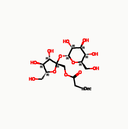 CCCCCCCCCCCC(=O)OC[C@@]1(O[C@H]2O[C@H](CO)[C@@H](O)[C@H](O)[C@H]2O)O[C@H](CO)[C@@H](O)[C@@H]1O